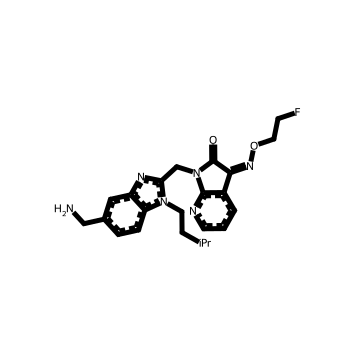 CC(C)CCn1c(CN2C(=O)C(=NOCCF)c3cccnc32)nc2cc(CN)ccc21